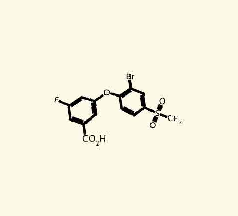 O=C(O)c1cc(F)cc(Oc2ccc(S(=O)(=O)C(F)(F)F)cc2Br)c1